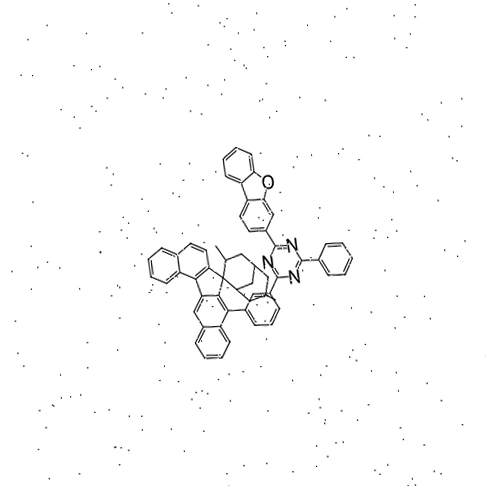 CC1CC2CC(C)C3(c4ccc5ccccc5c4-c4cc5ccccc5c(-c5cccc(-c6nc(-c7ccccc7)nc(-c7ccc8c(c7)oc7ccccc78)n6)c5)c43)C(C1)C2